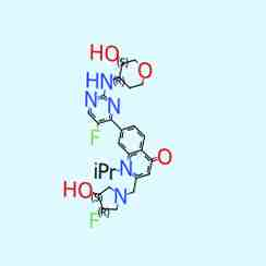 CC(C)n1c(CN2C[C@@H](F)[C@@H](O)C2)cc(=O)c2ccc(-c3nc(N[C@@H]4CCOC[C@H]4O)ncc3F)cc21